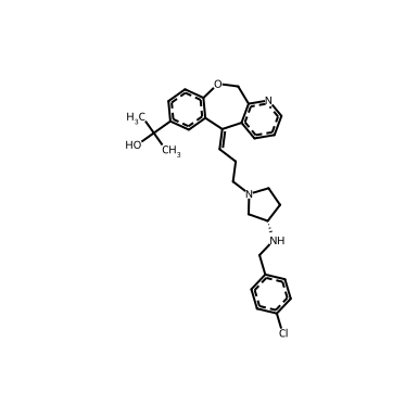 CC(C)(O)c1ccc2c(c1)/C(=C/CCN1CC[C@H](NCc3ccc(Cl)cc3)C1)c1cccnc1CO2